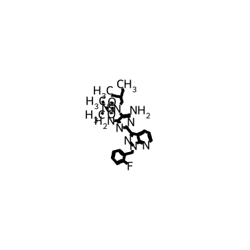 CCC(CC)CN(c1c(N)nc(-c2nn(Cc3ccccc3F)c3ncccc23)nc1N)S(=O)(=O)N(C)C